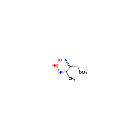 COCC(=N/O)/C(C)=N\O